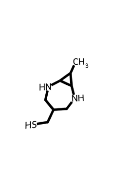 CC1C2NCC(CS)CNC12